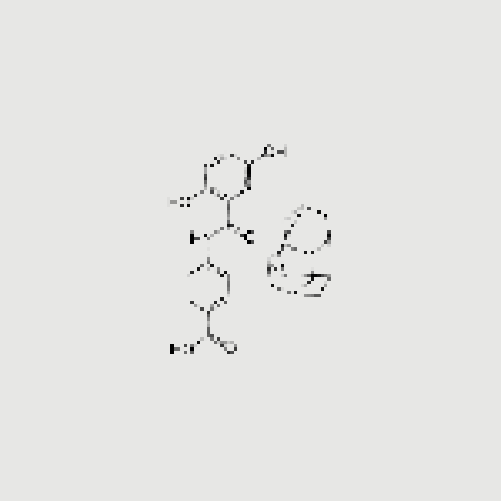 C1C2CC3C4CC5CC(C14)C(C2)C3C5.O=C(O)c1ccc(NC(=O)c2cc(O)ccc2O)cc1